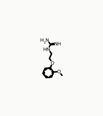 COc1ccccc1OCCNC(=N)N